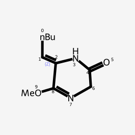 CCCC/C=C1\NC(=O)CN=C1OC